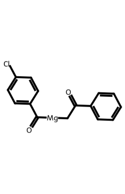 O=C([CH2][Mg][C](=O)c1ccc(Cl)cc1)c1ccccc1